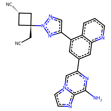 N#CC[C@]1(n2ncc(-c3cc(-c4cn5ccnc5c(N)n4)cc4ncccc34)n2)C[C@@H](C#N)C1